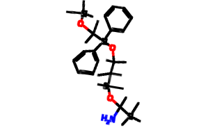 CC(C)(O[Si](c1ccccc1)(c1ccccc1)C(C)(C)O[Si](C)(C)C)C(C)(C)[Si](C)(C)OC(C)(N)[Si](C)(C)C